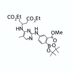 CCOC(=O)CC(CC(=O)OCC)Nc1nc(Nc2ccc(B3OC(C)(C)C(C)(C)O3)c(C(=O)OC)c2)ncc1C